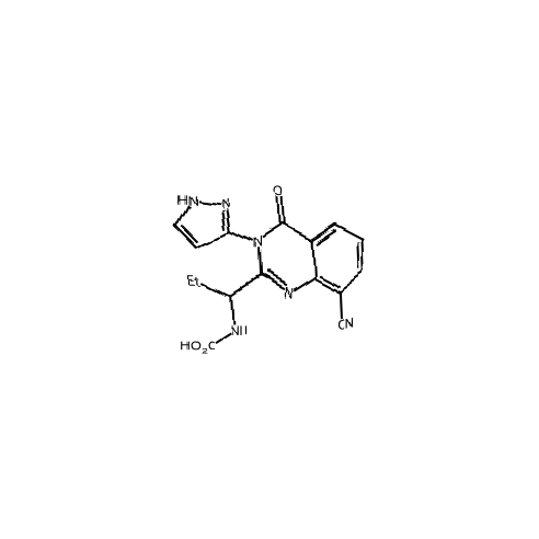 CCC(NC(=O)O)c1nc2c(C#N)cccc2c(=O)n1-c1cc[nH]n1